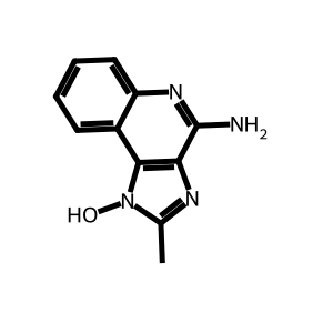 Cc1nc2c(N)nc3ccccc3c2n1O